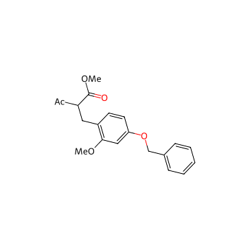 COC(=O)C(Cc1ccc(OCc2ccccc2)cc1OC)C(C)=O